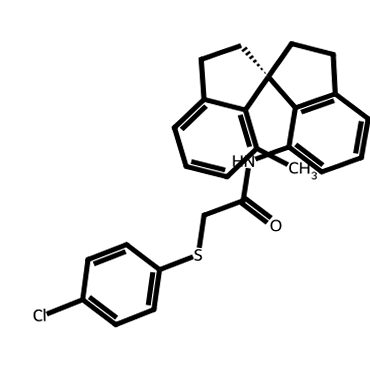 Cc1cccc2c1[C@@]1(CC2)CCc2cccc(NC(=O)CSc3ccc(Cl)cc3)c21